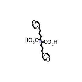 O=C(O)/C(CCCN1CCOCC1)=C(\CCCN1CCOCC1)C(=O)O